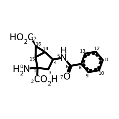 NC1(C(=O)O)CC(NC(=O)c2ccccc2)C2C1[C@H]2C(=O)O